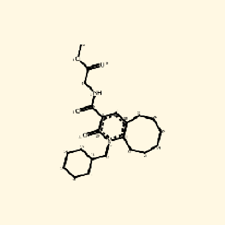 COC(=O)CNC(=O)c1cc2c(n(CC3CCCCC3)c1=O)CCCCCC2